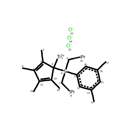 CC1=C(C)[C]([Ti+3])([Si](CC(C)C)(CC(C)C)c2cc(C)cc(C)c2)C(C)=C1C.[Cl-].[Cl-].[Cl-]